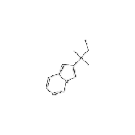 CCC(C)(C)c1cc2ccccn2c1